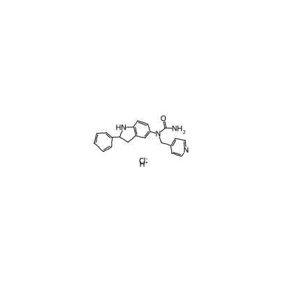 NC(=O)N(Cc1ccncc1)c1ccc2c(c1)CC(c1ccccc1)N2.[Cl-].[H+]